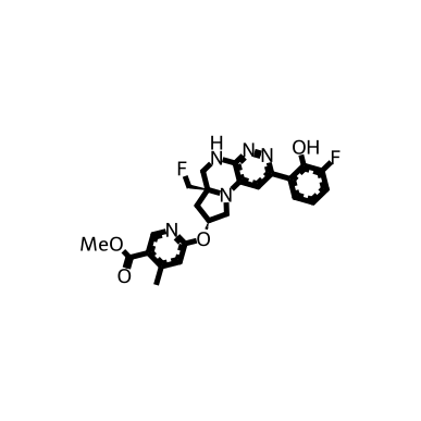 COC(=O)c1cnc(O[C@H]2CN3c4cc(-c5cccc(F)c5O)nnc4NC[C@@]3(CF)C2)cc1C